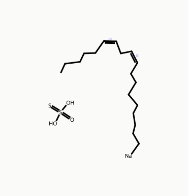 CCCCC/C=C\C/C=C\CCCCCCC[CH2][Na].O=S(O)(O)=S